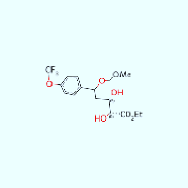 CCOC(=O)[C@H](O)[C@@H](O)CC(OCOC)c1ccc(OC(F)(F)F)cc1